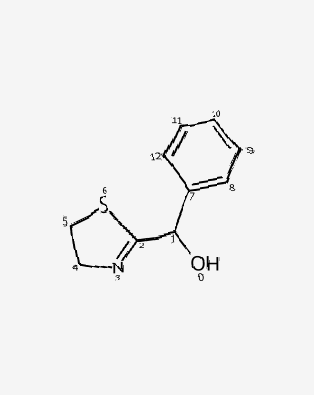 OC(C1=NCCS1)c1ccccc1